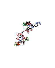 COc1cc2c(cc1OCCCCCOc1cc3c(cc1OC)C(=O)N1C=C(c4cccc(N)c4)C[C@H]1[C@H](O[Si](C)(C)C(C)(C)C)N3C(=O)OCC(Cl)(Cl)Cl)N(C(=O)OCC(Cl)(Cl)Cl)[C@@H](O[Si](C)(C)C(C)(C)C)[C@@H]1CC(OS(=O)(=O)C(F)(F)F)=CN1C2=O